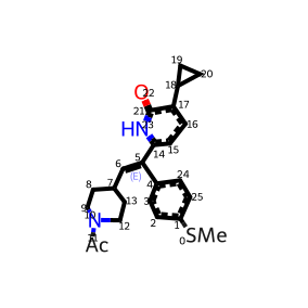 CSc1ccc(/C(=C\C2CCN(C(C)=O)CC2)c2ccc(C3CC3)c(=O)[nH]2)cc1